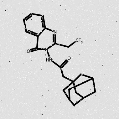 O=C(CC12CC3CC(CC(C3)C1)C2)Nn1c(CC(F)(F)F)nc2ccccc2c1=O